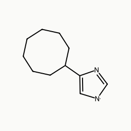 C1=NC(C2CCCCCCC2)=C[N]1